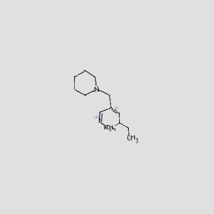 C/C=C\C(=C/C(C)CC)CN1CCCCC1